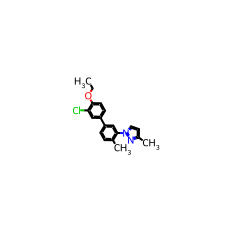 CCOc1ccc(-c2ccc(C)c(-n3ccc(C)n3)c2)cc1Cl